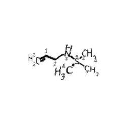 C=CCNS(C)(C)C